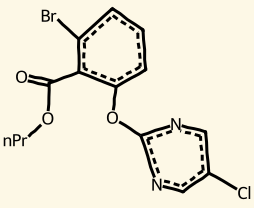 CCCOC(=O)c1c(Br)cccc1Oc1ncc(Cl)cn1